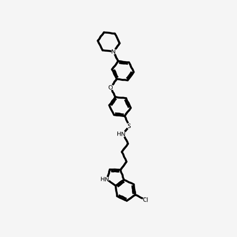 Clc1ccc2[nH]cc(CCCNSc3ccc(Oc4cccc(N5CCCCC5)c4)cc3)c2c1